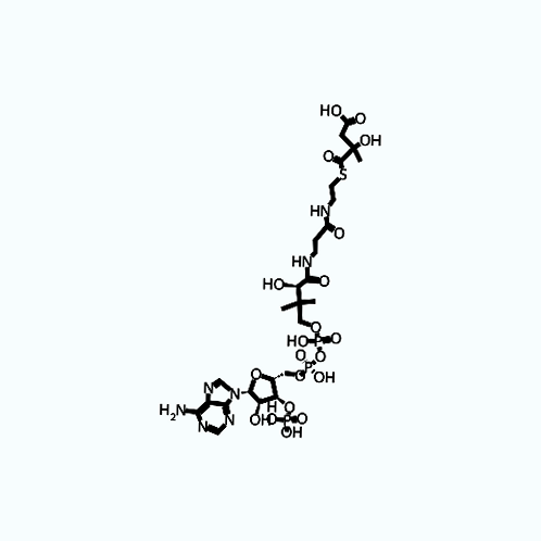 CC(O)(CC(=O)O)C(=O)SCCNC(=O)CCNC(=O)[C@H](O)C(C)(C)COP(=O)(O)OP(=O)(O)OC[C@H]1O[C@@H](n2cnc3c(N)ncnc32)[C@H](O)[C@@H]1OP(=O)(O)O